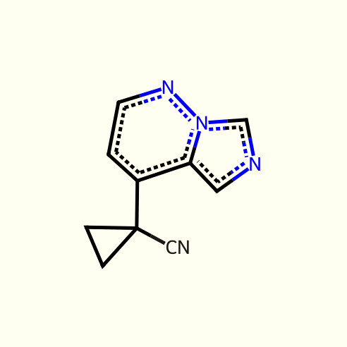 N#CC1(c2ccnn3cncc23)CC1